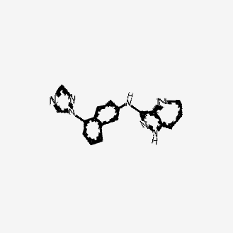 c1cc(-n2cncn2)c2ccc(Nc3n[nH]c4cccnc34)cc2c1